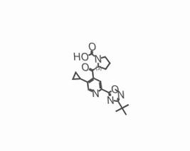 CC(C)(C)c1noc(-c2cc(C(=O)[C@@H]3CCCN3C(=O)O)c(C3CC3)cn2)n1